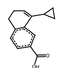 O=C(O)c1ccc2c(c1)C(C1CC1)=CCC2